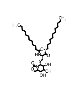 CCCCCCCCCCCCNC(=O)[C@H](CS[C@@H]1C(O)C(O)[C@H](O)C2COC(=O)N21)NC(=O)CCCCCCCCCCC